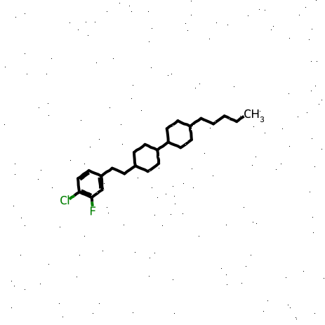 CCCCCC1CCC(C2CCC(CCc3ccc(Cl)c(F)c3)CC2)CC1